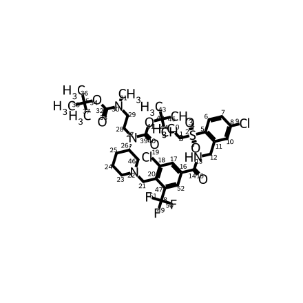 CCS(=O)(=O)c1ccc(Cl)cc1CNC(=O)c1cc(Cl)c(CN2CCC[C@H](N(CCN(C)C(=O)OC(C)(C)C)C(=O)OC(C)(C)C)C2)c(C(F)(F)F)c1